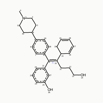 CN1CCC(c2ccc(/C(=C(/CCCO)C3C=CC=CC3)c3cccc(O)c3)cc2)CC1